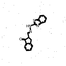 O=C1c2ccccc2CC1/C=N/Nc1nc2ccccc2s1